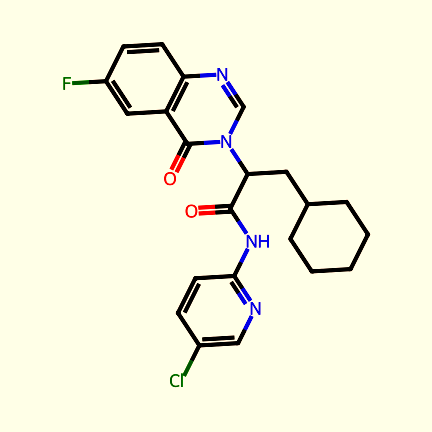 O=C(Nc1ccc(Cl)cn1)C(CC1CCCCC1)n1cnc2ccc(F)cc2c1=O